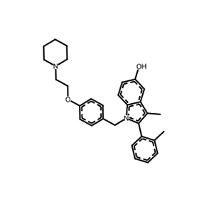 Cc1ccccc1-c1c(C)c2cc(O)ccc2n1Cc1ccc(OCCN2CCCCC2)cc1